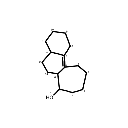 OC1CCCCC2=C3CCCCC3CCC21